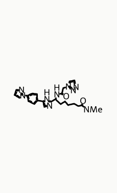 CNC(=O)CCCCCC(NC(=O)Cn1ccnn1)c1ncc(-c2ccc(-n3cccn3)cc2)[nH]1